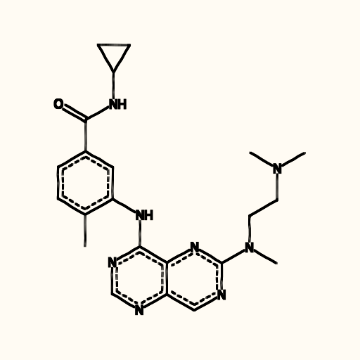 Cc1ccc(C(=O)NC2CC2)cc1Nc1ncnc2cnc(N(C)CCN(C)C)nc12